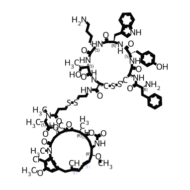 COc1cc2cc(c1Cl)N(C)C(=O)C[C@H](OC(=O)[C@H](C)N(C)C(=O)CCSSCCNC(=O)[C@@H]1CSSC[C@H](NC(=O)[C@H](N)Cc3ccccc3)C(=O)N[C@@H](Cc3ccc(O)cc3)C(=O)N[C@H](Cc3c[nH]c4ccccc34)C(=O)N[C@@H](CCCCN)C(=O)N[C@@H]([C@@H](C)O)C(=O)N1)[C@]1(C)OC1[C@H](C)[C@@H]1CC(NC(=O)O1)[C@H](OC)/C=C/C=C(\C)C2